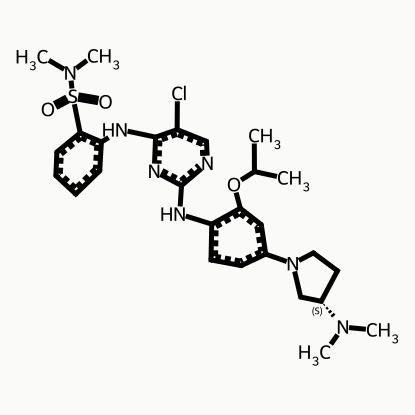 CC(C)Oc1cc(N2CC[C@H](N(C)C)C2)ccc1Nc1ncc(Cl)c(Nc2ccccc2S(=O)(=O)N(C)C)n1